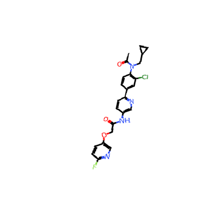 CC(=O)N(CC1CC1)c1ccc(-c2ccc(NC(=O)COc3ccc(F)nc3)cn2)cc1Cl